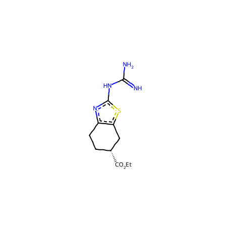 CCOC(=O)[C@@H]1CCc2nc(NC(=N)N)sc2C1